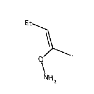 [CH2]C(=CCC)ON